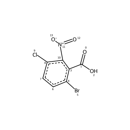 O=C(O)c1c(Br)ccc(Cl)c1[N+](=O)[O-]